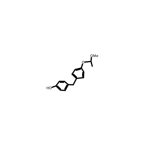 COC(C)Oc1ccc(Cc2ccc(O)cc2)cc1